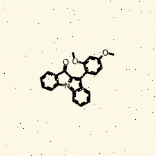 COc1ccc(-c2c3n(c4ccccc24)-c2ccccc2C3=O)c(OC)c1